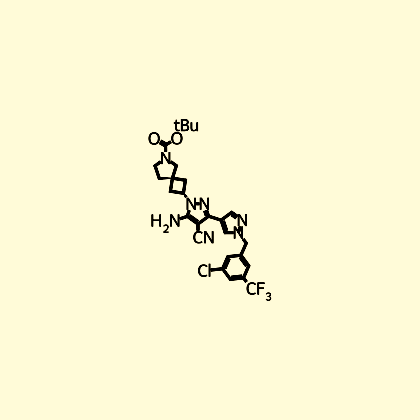 CC(C)(C)OC(=O)N1CC[C@]2(C1)C[C@H](n1nc(-c3cnn(Cc4cc(Cl)cc(C(F)(F)F)c4)c3)c(C#N)c1N)C2